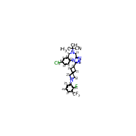 CC(C)(C#N)N1Cc2cc(Cl)ccc2-n2c(nnc2C2CC3(C2)CN(c2cccc(C(F)(F)F)c2F)C3)C1